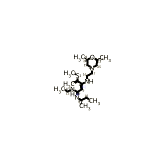 C=C(SC)/C(=C\C(=N/[C@@H](C)CC)NCC)NCCN1C[C@@H](C)O[C@@H](C)C1